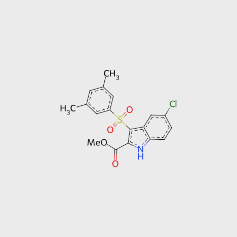 COC(=O)c1[nH]c2ccc(Cl)cc2c1S(=O)(=O)c1cc(C)cc(C)c1